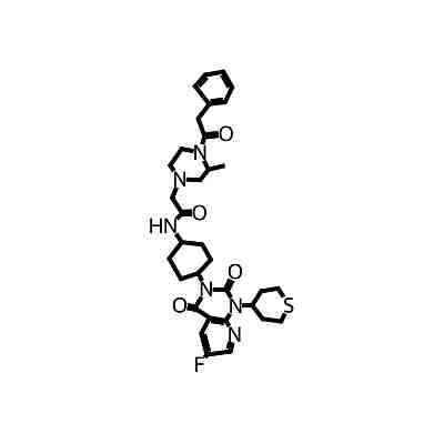 CC1CN(CC(=O)NC2CCC(n3c(=O)c4cc(F)cnc4n(C4CCSCC4)c3=O)CC2)CCN1C(=O)Cc1ccccc1